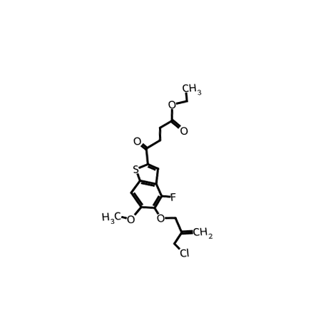 C=C(CCl)COc1c(OC)cc2sc(C(=O)CCC(=O)OCC)cc2c1F